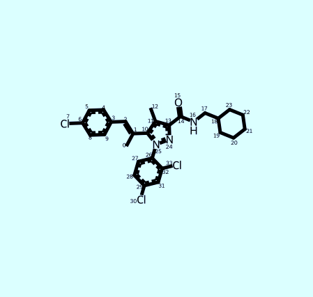 CC(=Cc1ccc(Cl)cc1)c1c(C)c(C(=O)NCC2CCCCC2)nn1-c1ccc(Cl)cc1Cl